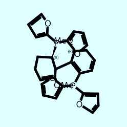 COC1=CCC[C@@H](P(c2ccco2)c2ccco2)C1C1=C(P(c2ccco2)c2ccco2)C=CC[C@H]1OC